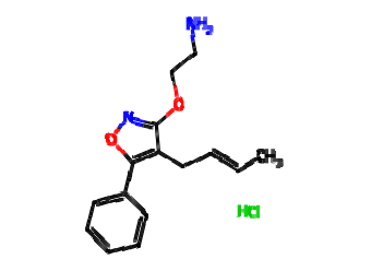 CC=CCc1c(OCCN)noc1-c1ccccc1.Cl